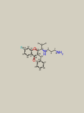 CC(C)[C@@H](NCCCN)c1oc2cc(F)ccc2c(=O)c1Cc1ccccc1